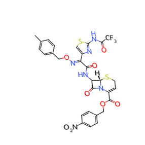 Cc1ccc(CON=C(C(=O)NC2C(=O)N3C(C(=O)OCc4ccc([N+](=O)[O-])cc4)=CCS[C@@H]23)c2csc(NC(=O)C(F)(F)F)n2)cc1